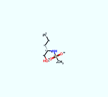 CC(C)CC[C@@H](CO)NS(C)(=O)=O